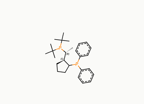 C[C@H]([C@@H]1CCCC1P(c1ccccc1)c1ccccc1)P(C(C)(C)C)C(C)(C)C